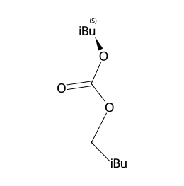 C[CH][C@H](C)OC(=O)OCC(C)CC